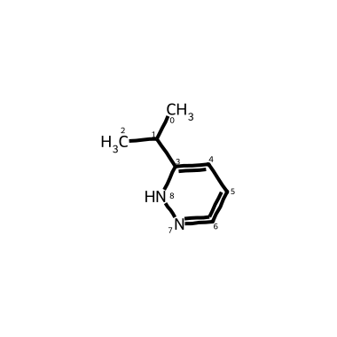 CC(C)C1=CC=C=NN1